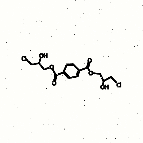 O=C(OCC(O)CCl)c1ccc(C(=O)OCC(O)CCl)cc1